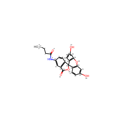 O=C(O)CCC(=O)Nc1ccc2c(c1)C(=O)OC21c2ccc(O)cc2Oc2cc(O)ccc21